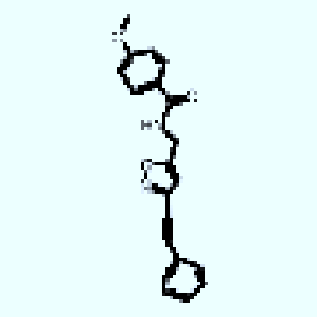 COc1ccc(C(=O)NCc2cc(C#Cc3ccccc3)no2)cc1